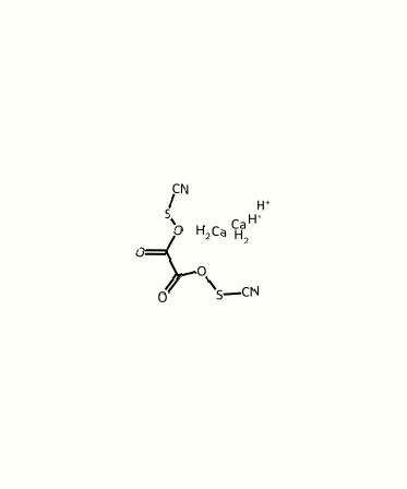 N#CSOC(=O)C(=O)OSC#N.[CaH2].[CaH2].[H+].[H+]